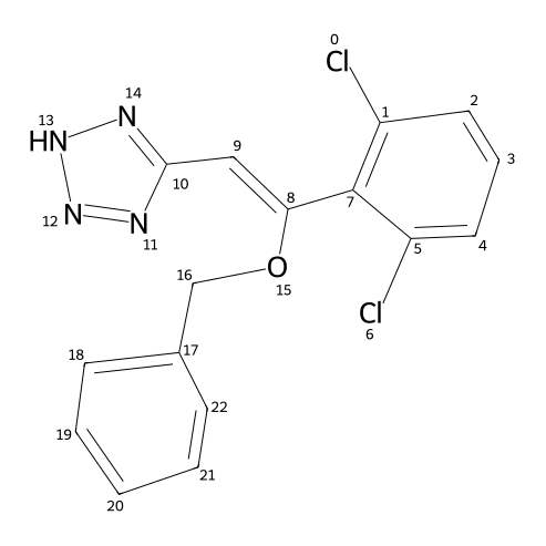 Clc1cccc(Cl)c1C(=Cc1nn[nH]n1)OCc1ccccc1